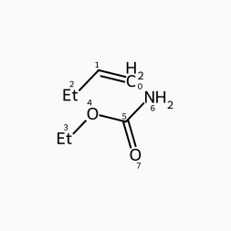 C=CCC.CCOC(N)=O